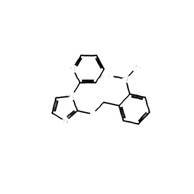 CC(=O)N(C)c1ccccc1CSc1nccn1-c1ccccn1